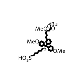 COc1ccc(C(SCCCCCCCS(=O)(=O)O)(c2ccc(OC)cc2)c2cccc(CCCC(CC(=O)OC(C)(C)C)OC)c2)cc1